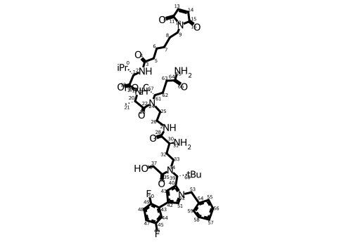 CC(C)[C@H](NC(=O)CCCCCN1C(=O)C=CC1=O)C(=O)N[C@@H](C)C(=O)N(CCNC(=O)[C@@H](N)CCN(C(=O)CO)[C@@H](c1cc(-c2cc(F)ccc2F)cn1Cc1ccccc1)C(C)(C)C)[C@@H](CCC(N)=O)C(=O)O